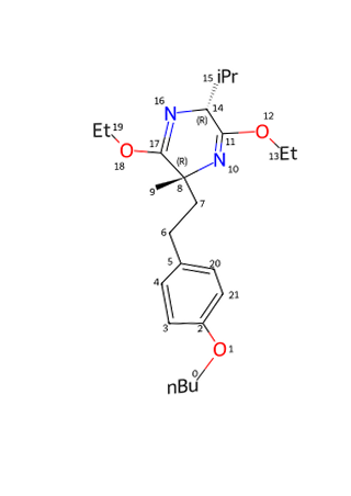 CCCCOc1ccc(CC[C@@]2(C)N=C(OCC)[C@@H](C(C)C)N=C2OCC)cc1